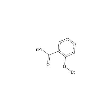 CCCC(=O)c1ccccc1OCC